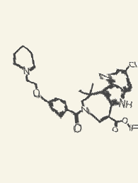 CC(C)OC(=O)C1=CN(C(=O)c2ccc(OCCN3CCCCC3)cc2)CC(C)(C)c2c1[nH]c1cc(Cl)cnc21